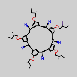 CC[C@H](C)COc1cc2cc(c1)/C(C#N)=C/c1cc(OC[C@@H](C)CC)cc(c1)/C(C#N)=C/c1cc(OC[C@@H](I)CC)cc(c1)/C(C#N)=C/c1cc(OC[C@@H](C)CC)cc(c1)/C(C#N)=C/c1cc(OC[C@@H](C)CC)cc(c1)/C(C#N)=C/2